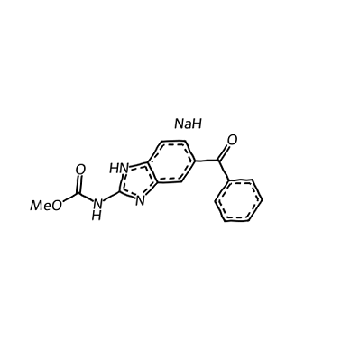 COC(=O)Nc1nc2cc(C(=O)c3ccccc3)ccc2[nH]1.[NaH]